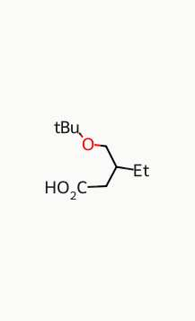 CCC(COC(C)(C)C)CC(=O)O